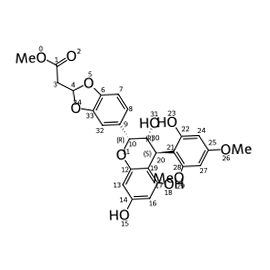 COC(=O)CC1Oc2ccc([C@H]3Oc4cc(O)cc(O)c4[C@H](c4c(O)cc(OC)cc4OC)[C@H]3O)cc2O1